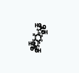 O=P(O)(O)Cc1ccc(CP(=O)(O)O)cc1